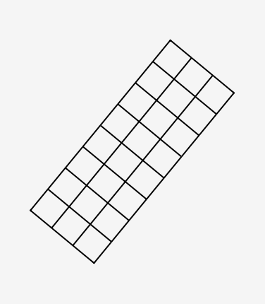 C1C2C3CC4C5C6C7C8C9C%10CC%11C%12CC%13C%14C%15C%16C%17C%18C1C21C34C52C%181C%171C62C72C83C94C%11%10C%12%13C%144C%153C%1612